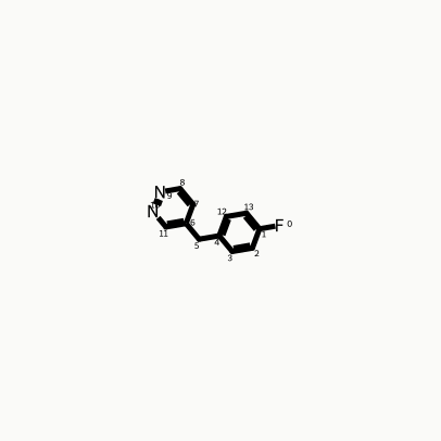 Fc1ccc(Cc2ccnnc2)cc1